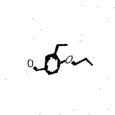 CCCOc1ccc(C=O)cc1CC